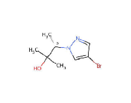 C[C@H](n1cc(Br)cn1)C(C)(C)O